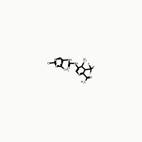 CC(=O)C1=NC=C(NC(=O)Nc2cnc(Cl)nc2C)C(C)C1C(F)(F)F